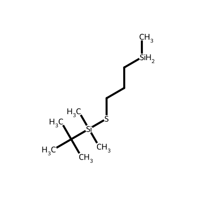 C[SiH2]CCCS[Si](C)(C)C(C)(C)C